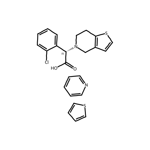 O=C(O)[C@H](c1ccccc1Cl)N1CCc2sccc2C1.c1ccncc1.c1ccsc1